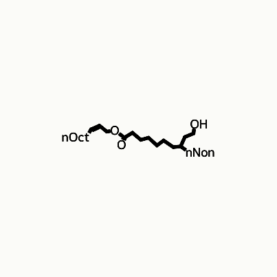 CCCCCCCC/C=C\COC(=O)CCCCCCC(CCO)CCCCCCCCC